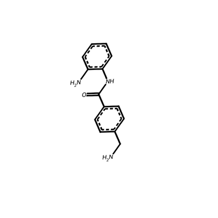 NCc1ccc(C(=O)Nc2ccccc2N)cc1